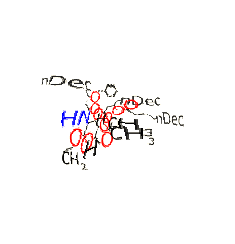 C=CCO[C@H]1O[C@@H]2COC(C)(C)O[C@H]2[C@H](OC(=O)C[C@@H](CCCCCCCCCCC)OC(=O)CCCCCCCCCCCCC)[C@H]1NC(=O)C[C@H](CCCCCCCCCCC)OCc1ccccc1